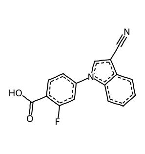 N#Cc1cn(-c2ccc(C(=O)O)c(F)c2)c2ccccc12